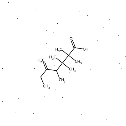 C=C(CC)C(C)C(C)(C)C(C)(C)C(=O)O